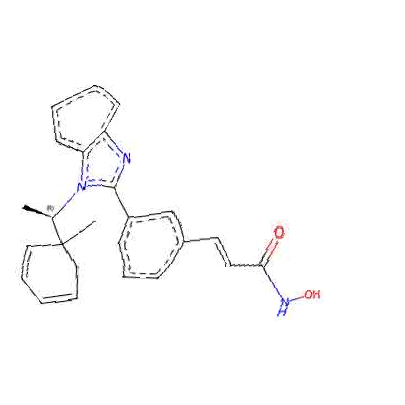 C[C@@H](n1c(-c2cccc(C=CC(=O)NO)c2)nc2ccccc21)C1(C)C=CC=CC1